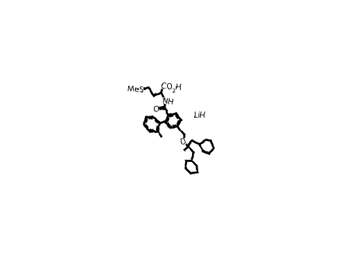 CSCCC(NC(=O)c1ccc(COC(C)(CC2CCCCC2)CC2CCCCC2)cc1-c1ccccc1C)C(=O)O.[LiH]